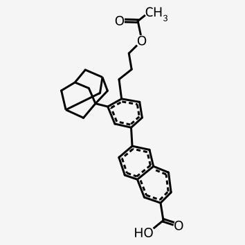 CC(=O)OCCCc1ccc(-c2ccc3cc(C(=O)O)ccc3c2)cc1C12CC3CC(CC(C3)C1)C2